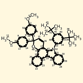 COc1ccc(C2(c3ccc(OC)cc3)C=Cc3c(c4ccccc4c4c5ccccc5n(-c5cc(C(C)(C)C)cc(C(C)(C)C)c5)c34)O2)cc1